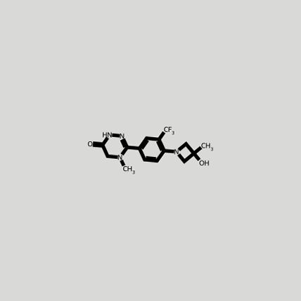 CN1CC(=O)NN=C1c1ccc(N2CC(C)(O)C2)c(C(F)(F)F)c1